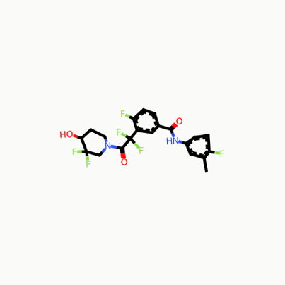 Cc1cc(NC(=O)c2ccc(F)c(C(F)(F)C(=O)N3CCC(O)C(F)(F)C3)c2)ccc1F